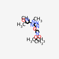 CCn1c(-c2cnc(OC)c(C)c2)nc2c(O[C@H]3CCN(C(=O)OC(C)(C)C)C3)ncnc21